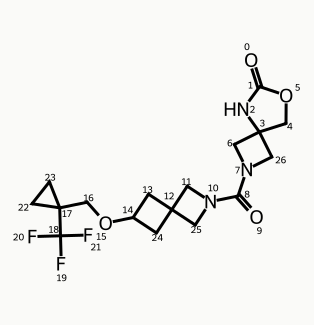 O=C1NC2(CO1)CN(C(=O)N1CC3(CC(OCC4(C(F)(F)F)CC4)C3)C1)C2